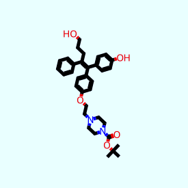 CC(C)(C)OC(=O)N1CCN(CCOc2ccc(C(=C(CCCO)c3ccccc3)c3ccc(O)cc3)cc2)CC1